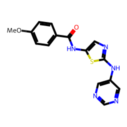 COc1ccc(C(=O)Nc2cnc(Nc3cncnc3)s2)cc1